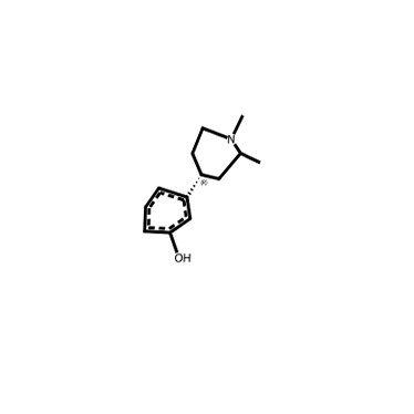 CC1C[C@H](c2cccc(O)c2)CCN1C